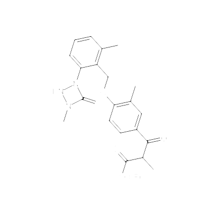 CCOC(=O)C(=O)C(C)C(=O)c1ccc(OCc2c(C)cccc2-n2[nH]n(C)c2=O)c(C)c1